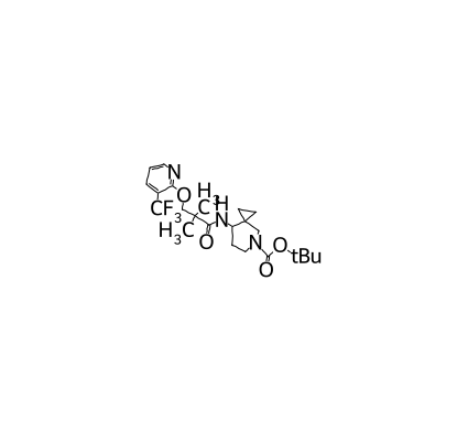 CC(C)(C)OC(=O)N1CCC(NC(=O)C(C)(C)COc2ncccc2C(F)(F)F)C2(CC2)C1